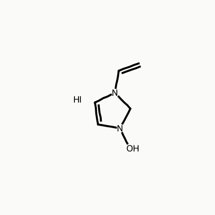 C=CN1C=CN(O)C1.I